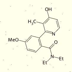 CCN(CC)C(=O)c1ccc(OC)cc1-c1nccc(O)c1C